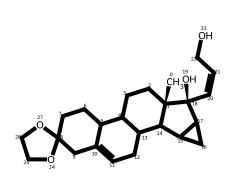 C[C@]12CCC3C4CCC5(CC4=CCC3C1C1CC1[C@@]2(O)/C=C\CO)OCCO5